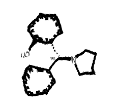 Oc1ccccc1[C@@H](c1ccccc1)N1CCCC1